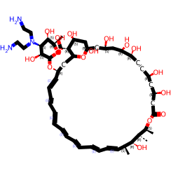 C[C@@H]1[C@H](O)[C@@H](C)/C=C/C=C/C=C/C=C/C=C/C=C/C=C/[C@H](OC2O[C@H](C)[C@@H](O)[C@H](N(CCN)CCN)[C@@H]2O)CC2O[C@](O)(C[C@@H](O)C[C@@H](O)[C@H](O)CC[C@@H](O)C[C@@H](O)CC(=O)O[C@H]1C)C[C@H](O)[C@H]2C(=O)O